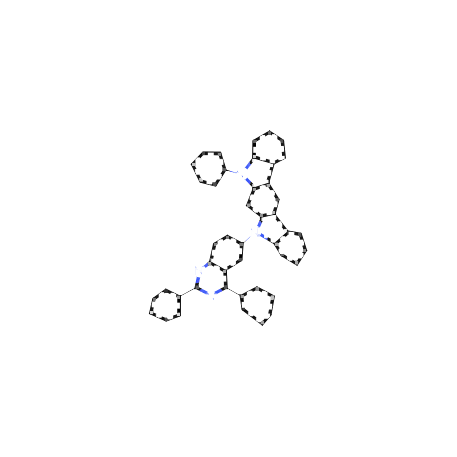 c1ccc(-c2nc(-c3ccccc3)c3cc(-n4c5ccccc5c5cc6c7ccccc7n(-c7ccccc7)c6cc54)ccc3n2)cc1